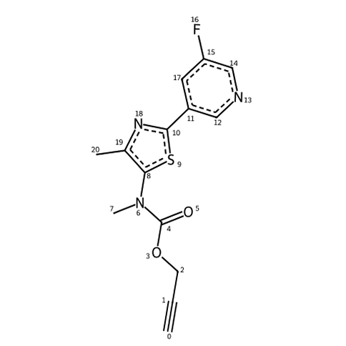 C#CCOC(=O)N(C)c1sc(-c2cncc(F)c2)nc1C